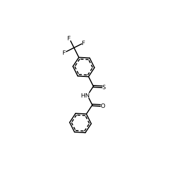 O=C(NC(=S)c1ccc(C(F)(F)F)cc1)c1ccccc1